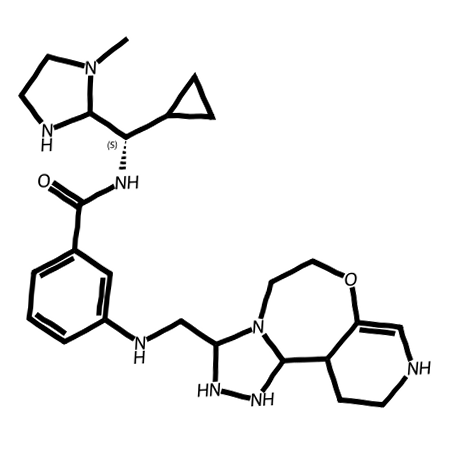 CN1CCNC1[C@@H](NC(=O)c1cccc(NCC2NNC3C4CCNC=C4OCCN23)c1)C1CC1